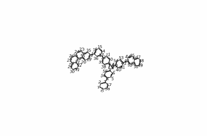 c1ccc(-c2ccc(N(c3ccc(-c4cccc(-c5ccc6c(ccc7ccc8ccccc8c76)c5)c4)cc3)c3ccc(-c4ccc5ccccc5c4)cc3)cc2)cc1